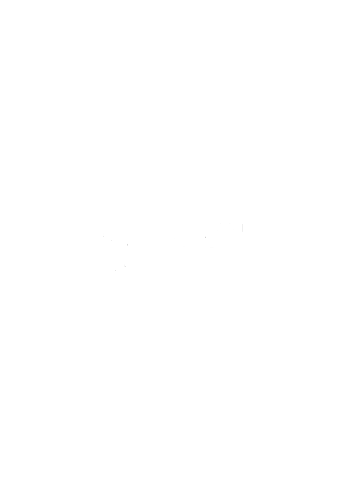 CC(C)(C)OC(=O)Cc1ccc(C(F)(F)C(=O)O)cc1